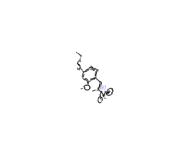 CCSc1ccc(/C=C(\C)[N+](=O)[O-])c(OC)c1